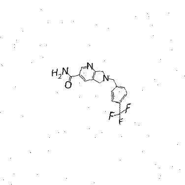 NC(=O)c1cnc2c(c1)CN(Cc1ccc(C(F)(F)F)cc1)C2